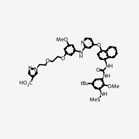 COc1cc(Nc2cc(Oc3ccc(NC(=O)Nc4cc(C(C)(C)C)cc(NSC)c4OC)c4ccccc34)ccn2)cc(OCCOCCn2cc(C(=O)O)cn2)c1